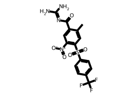 Cc1cc(S(=O)(=O)c2ccc(C(F)(F)F)cc2)c([N+](=O)[O-])cc1C(=O)N=C(N)N